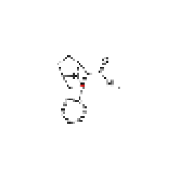 NC(=O)C1=CCC2CCC1N2Cc1ccccc1